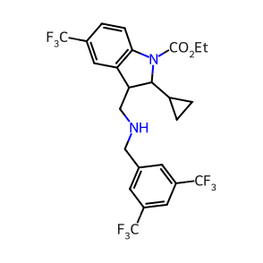 CCOC(=O)N1c2ccc(C(F)(F)F)cc2C(CNCc2cc(C(F)(F)F)cc(C(F)(F)F)c2)C1C1CC1